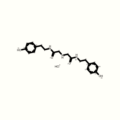 Cl.O=C(CNCC(=O)NCCc1ccc(O)cc1)NCCc1ccc(O)cc1